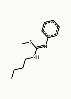 CCCCNC(=Nc1ccccc1)SC